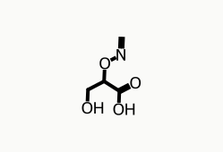 C=NOC(CO)C(=O)O